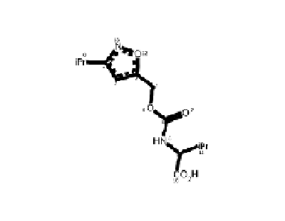 CC(C)c1cc(COC(=O)NC(C(=O)O)C(C)C)on1